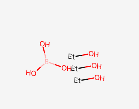 CCO.CCO.CCO.OB(O)O